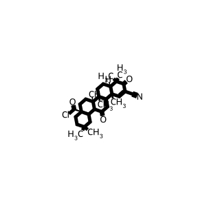 CC1(C)CC[C@]2(C(=O)Cl)CC[C@]3(C)C(C(=O)C=C4[C@@]5(C)C=C(C#N)C(=O)C(C)(C)[C@@H]5CC[C@]43C)C2C1